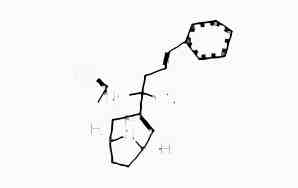 C=CC[C@@H]1C(C(C#N)(C#N)C/C=C/c2ccccc2)=C[C@H]2CC[C@@H]1N2